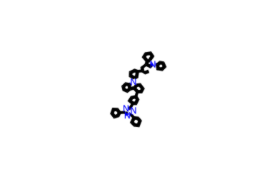 C=C/C(=C\c1cn(-c2ccccc2)c2ccccc12)c1cccc(-n2c3ccccc3c3c(-c4ccc(-c5nc(-c6ccccc6)nc(-c6ccccc6)n5)cc4)cccc32)c1